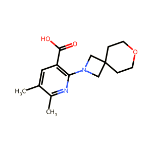 Cc1cc(C(=O)O)c(N2CC3(CCOCC3)C2)nc1C